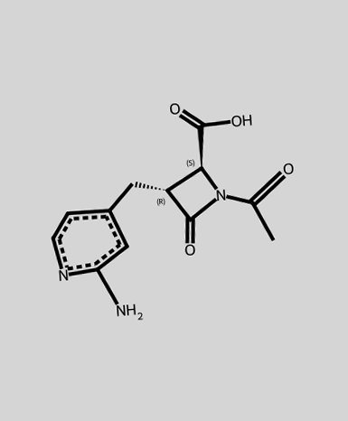 CC(=O)N1C(=O)[C@H](Cc2ccnc(N)c2)[C@H]1C(=O)O